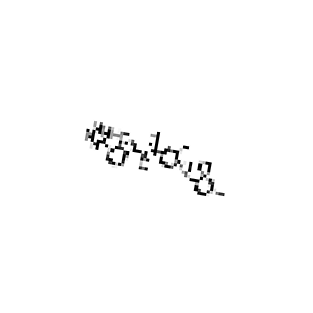 O=C(Nc1ccc(OCc2ccc(F)cc2Cl)c(F)c1)c1coc2c(-c3nnn[nH]3)cccc12